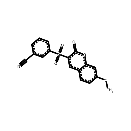 COc1ccc2cc(S(=O)(=O)c3cccc(C#N)c3)c(=O)oc2c1